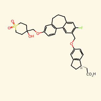 O=C(O)C[C@@H]1CCc2cc(OCc3cc4c(cc3F)CCCc3cc(OCC5(O)CCS(=O)(=O)CC5)ccc3-4)ccc21